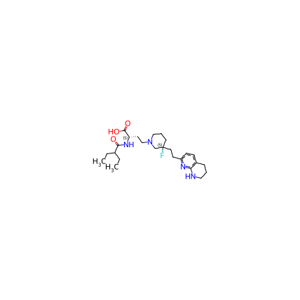 CCC(CC)C(=O)N[C@@H](CCN1CCC[C@](F)(CCc2ccc3c(n2)NCCC3)C1)C(=O)O